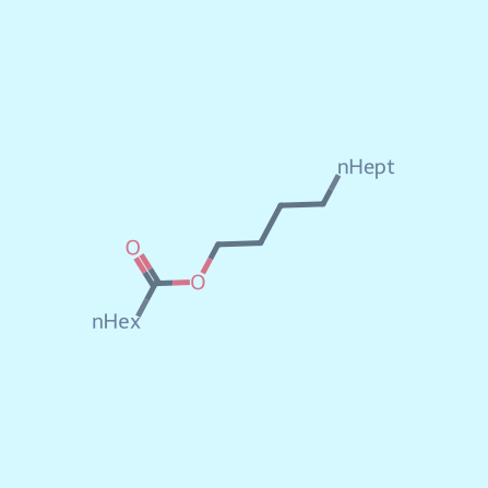 CCCCCCCCCCCOC(=O)CCCCCC